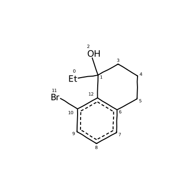 CCC1(O)CCCc2cccc(Br)c21